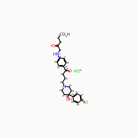 Cl.O=C(O)CCC(=O)CNc1ccc(C(=O)CCCN2CCC(O)(c3ccc(Cl)cc3)CC2)cc1